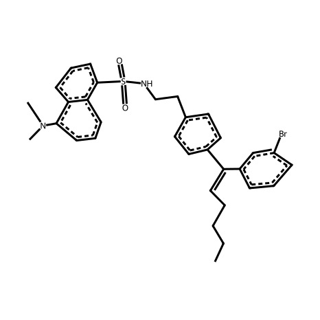 CCCCC=C(c1ccc(CCNS(=O)(=O)c2cccc3c(N(C)C)cccc23)cc1)c1cccc(Br)c1